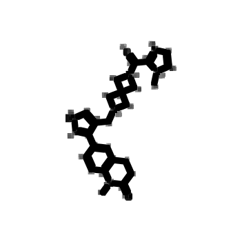 CN1C(=O)CCc2cc(-c3n[nH]cc3CN3CC4(C3)CN(C(=O)c3nccn3C)C4)ccc21